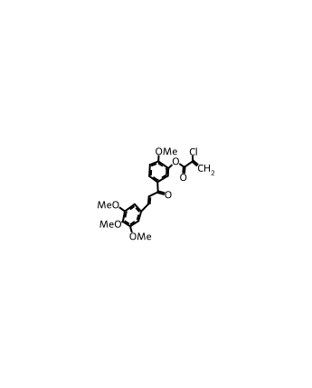 C=C(Cl)C(=O)Oc1cc(C(=O)C=Cc2cc(OC)c(OC)c(OC)c2)ccc1OC